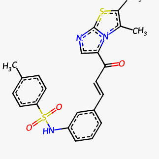 Cc1ccc(S(=O)(=O)Nc2cccc(C=CC(=O)c3cnc4sc(C)c(C)n34)c2)cc1